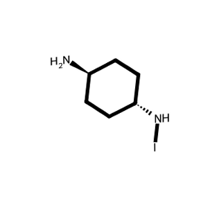 N[C@H]1CC[C@H](NI)CC1